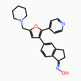 ON=C1CCc2cc(-c3cc(CN4CCCCC4)oc3-c3ccncc3)ccc21